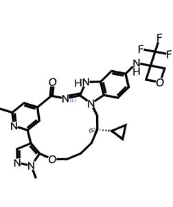 Cc1cc2cc(n1)-c1cnn(C)c1OCCC[C@@H](C1CC1)CN1/C(=N/C2=O)Nc2cc(NC3(C(F)(F)F)COC3)ccc21